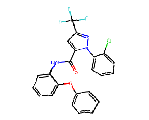 O=C(Nc1ccccc1Oc1ccccc1)c1cc(C(F)(F)F)nn1-c1ccccc1Cl